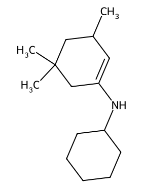 CC1C=C(NC2CCCCC2)CC(C)(C)C1